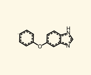 [c]1ccc(Oc2ccc3[nH]cnc3c2)cc1